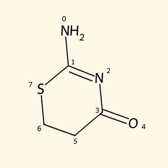 NC1=NC(=O)CCS1